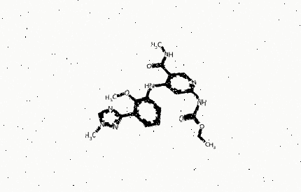 CCOC(=O)Nc1cc(Nc2cccc(-c3ncn(C)n3)c2OC)c(C(=O)NC)cn1